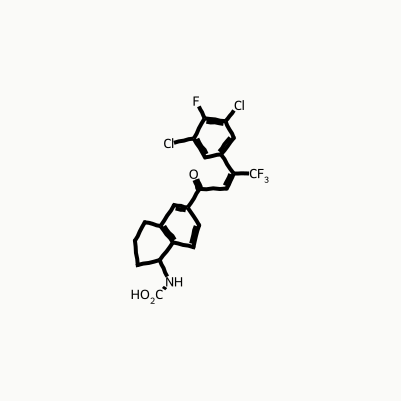 O=C(O)NC1CCCc2cc(C(=O)C=C(c3cc(Cl)c(F)c(Cl)c3)C(F)(F)F)ccc21